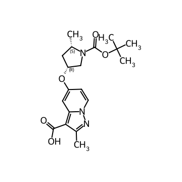 Cc1nn2ccc(O[C@@H]3C[C@H](C)N(C(=O)OC(C)(C)C)C3)cc2c1C(=O)O